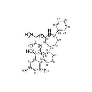 C[C@H](N)C(=O)N(C(=O)[C@H](O)c1cc(F)cc(F)c1)[C@@H]1C(=O)N[C@@H](c2ccccc2)CC[C@@H]1c1ccccc1